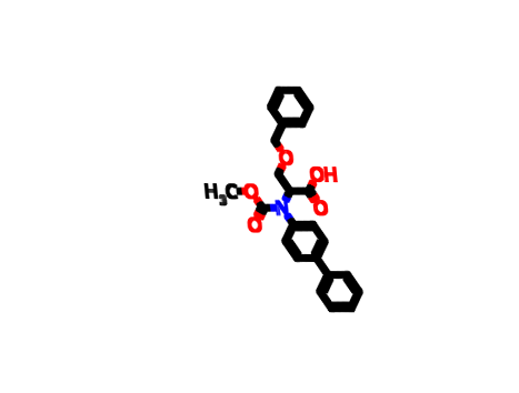 COC(=O)N(c1ccc(-c2ccccc2)cc1)C(COCc1ccccc1)C(=O)O